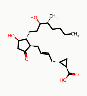 CCCC[C@@H](C)[C@H](O)CC[C@H]1[C@H](O)CC(=O)[C@@H]1CC=CC[C@@H]1C[C@H]1C(=O)O